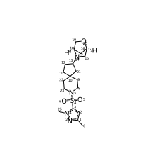 Cc1cc(S(=O)(=O)N2CCC3(CC[C@@H](N4C[C@H]5C[C@@H]4CO5)C3)CC2)n(C)n1